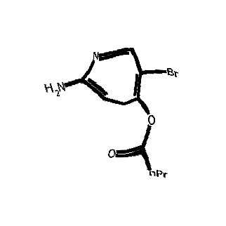 CCCC(=O)Oc1cc(N)ncc1Br